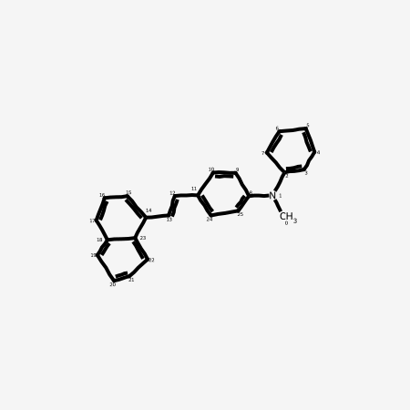 CN(c1ccccc1)c1ccc(/C=C/c2cccc3ccccc23)cc1